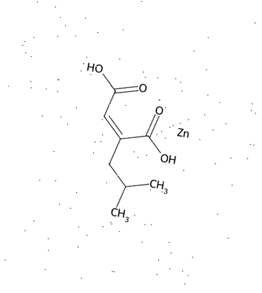 CC(C)C/C(=C/C(=O)O)C(=O)O.[Zn]